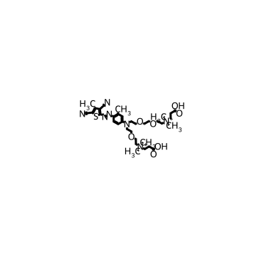 Cc1cc(N(CCOCCOCC[N+](C)(C)CCC(=O)O)CCOCC[N+](C)(C)CCC(=O)O)ccc1/N=N/c1sc(C#N)c(C)c1C#N